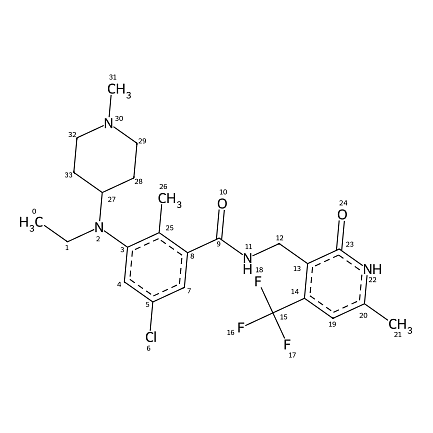 CCN(c1cc(Cl)cc(C(=O)NCc2c(C(F)(F)F)cc(C)[nH]c2=O)c1C)C1CCN(C)CC1